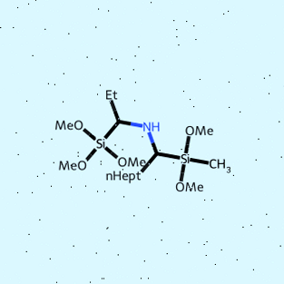 CCCCCCCC(NC(CC)[Si](OC)(OC)OC)[Si](C)(OC)OC